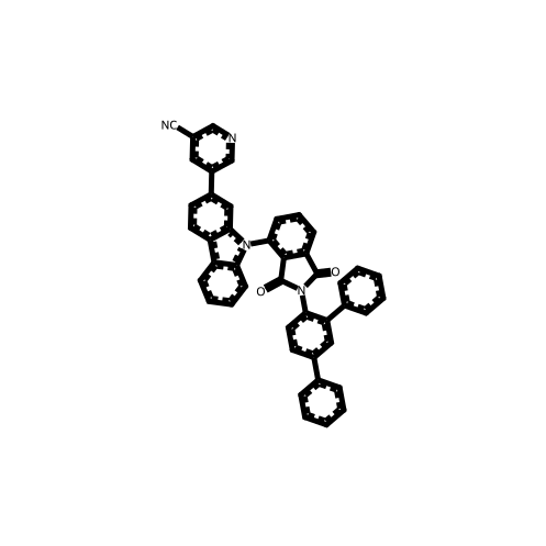 N#Cc1cncc(-c2ccc3c4ccccc4n(-c4cccc5c4C(=O)N(c4ccc(-c6ccccc6)cc4-c4ccccc4)C5=O)c3c2)c1